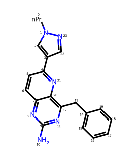 CCCn1cc(-c2ccc3nc(N)nc(Cc4ccccc4)c3n2)cn1